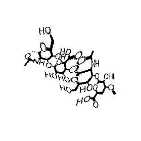 CO[C@H]1CC(C(=O)O)O[C@@H](O[C@@H]2C(NC(C)=O)[C@H](O[C@@H]3C(C(=O)O)O[C@@H](O[C@@H]4C(NC(C)=O)[C@H](C)OC(CO)[C@H]4O)C(O)[C@H]3O)OC(CO)[C@H]2O)C1O